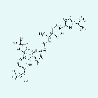 CC(C)c1noc(N2CCC([C@H](C)CCOc3ccc([C@H](NC(=O)OC(C)(C)C)C(=O)N4CCC(F)(F)C4)c(F)c3)CC2)n1